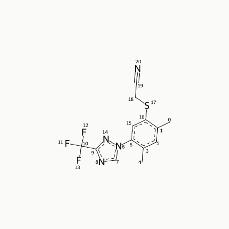 Cc1cc(C)c(-n2cnc(C(F)(F)F)n2)cc1SCC#N